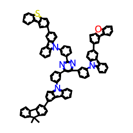 CC1(C)c2ccccc2-c2cc(-c3ccc4c(c3)c3ccccc3n4-c3cccc(-c4cc(-c5cccc(-n6c7ccccc7c7cc(-c8ccc9oc%10ccccc%10c9c8)ccc76)c5)nc(-c5cccc(-n6c7ccccc7c7cc(-c8ccc9sc%10ccccc%10c9c8)ccc76)c5)n4)c3)ccc21